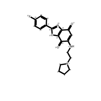 O=C1C=C(NCCN2CCCC2)C(=O)c2oc(-c3ccc(F)cc3)nc21